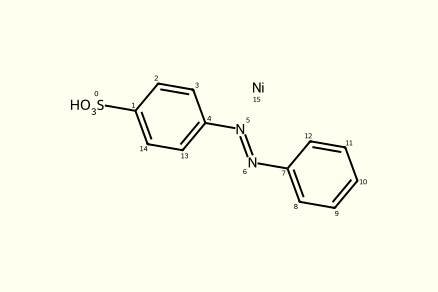 O=S(=O)(O)c1ccc(/N=N/c2ccccc2)cc1.[Ni]